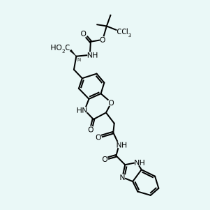 CC(C)(OC(=O)N[C@@H](Cc1ccc2c(c1)NC(=O)C(CC(=O)NC(=O)c1nc3ccccc3[nH]1)O2)C(=O)O)C(Cl)(Cl)Cl